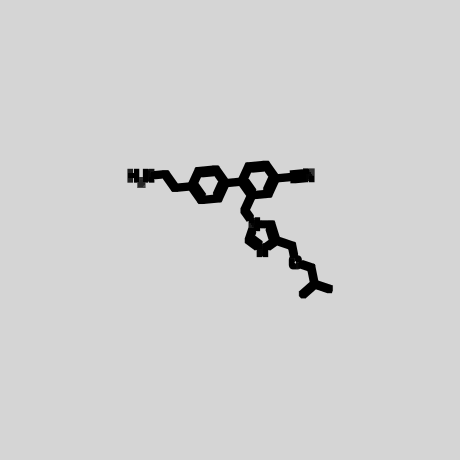 CC(C)COCc1cn(Cc2cc(C#N)ccc2-c2ccc(CCN)cc2)cn1